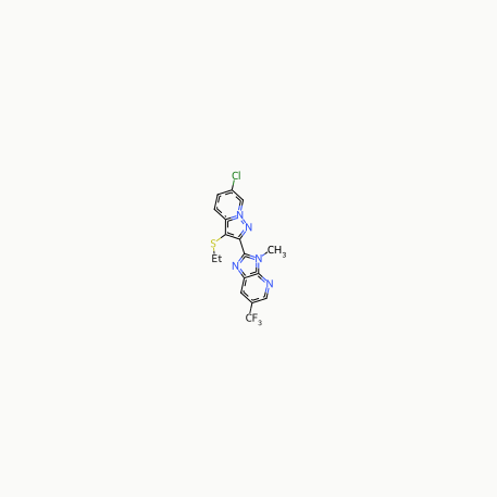 CCSc1c(-c2nc3cc(C(F)(F)F)cnc3n2C)nn2cc(Cl)ccc12